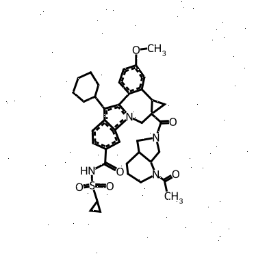 COc1ccc2c(c1)C1CC1(C(=O)N1CC3CCCN(C(C)=O)C3C1)Cn1c-2c(C2CCCCC2)c2ccc(C(=O)NS(=O)(=O)C3CC3)cc21